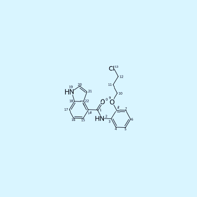 O=C(Nc1ccccc1OCCCCl)c1cccc2[nH]ccc12